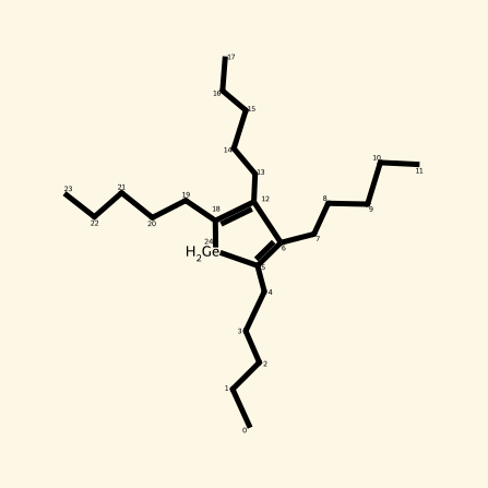 CCCCC[C]1=C(CCCCC)C(CCCCC)=[C](CCCCC)[GeH2]1